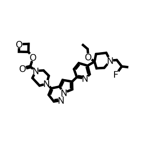 CCOC1(c2ccc(-c3cc4c(N5CCN(C(=O)OC6COC6)CC5)ccnn4c3)nc2)CCN(CC(C)F)CC1